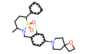 CC1CCC(c2ccccc2)S(=O)(=O)N1Cc1ccc(N2CCC3(CCO3)CC2)cc1F